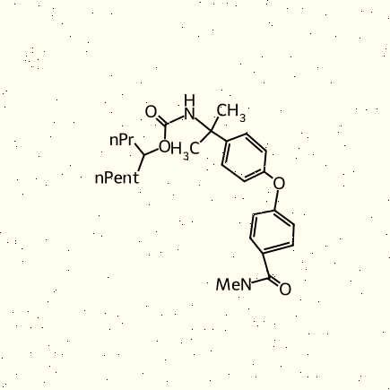 CCCCCC(CCC)OC(=O)NC(C)(C)c1ccc(Oc2ccc(C(=O)NC)cc2)cc1